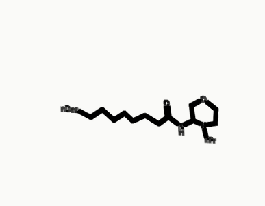 CCCCCCCCCCCCCCCCCC(=O)NC1COCCN1CCC